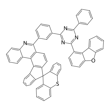 c1ccc(-c2nc(-c3cccc(-c4nc5ccccc5c5c6c(ccc45)C4(c5ccccc5Sc5ccccc54)c4ccccc4-6)c3)nc(-c3cccc4oc5ccccc5c34)n2)cc1